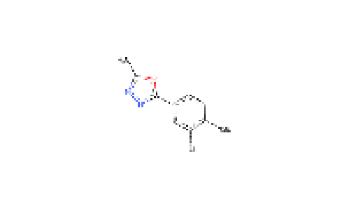 CCc1cc(-c2nnc(C)o2)ccc1C(C)(C)C